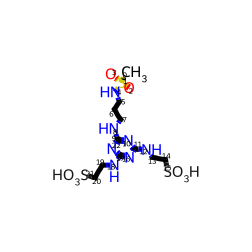 CS(=O)(=O)NCCCNc1nc(NCCS(=O)(=O)O)nc(NCCS(=O)(=O)O)n1